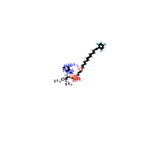 CC(C)[C@H](Cn1cnc2c(N)ncnc21)OCP(=O)(O)OCCCOCCCCCCCCCCC#Cc1c(F)cc(F)cc1F